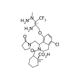 CN(N)/C(=C(\N)COc1ccc(Cl)c2c1C(CN1CCCC1=O)N(C(=O)C1CCCC[C@]1(C)C(=O)O)CC2)C(F)(F)F